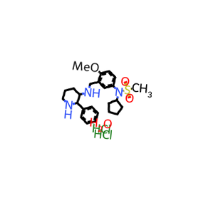 COc1ccc(N(C2CCCC2)S(C)(=O)=O)cc1CNC1CCCNC1c1ccccc1.Cl.Cl.O